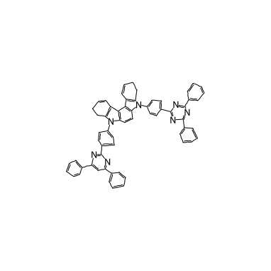 C1=Cc2c(n(-c3ccc(-c4nc(-c5ccccc5)cc(-c5ccccc5)n4)cc3)c3ccc4c(c5c(n4-c4ccc(-c6nc(-c7ccccc7)nc(-c7ccccc7)n6)cc4)CCC=C5)c23)CC1